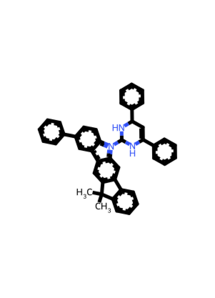 CC1(C)c2ccccc2-c2cc3c(cc21)c1cc(-c2ccccc2)ccc1n3C1NC(c2ccccc2)=CC(c2ccccc2)N1